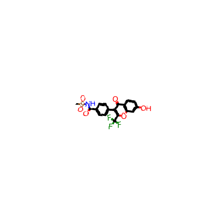 CS(=O)(=O)NC(=O)c1ccc(-c2c(C(F)(F)F)oc3cc(O)ccc3c2=O)cc1